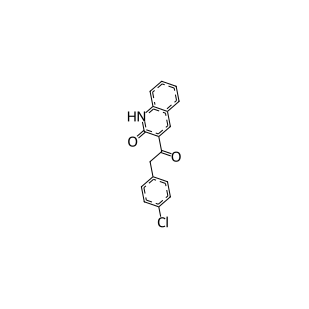 O=C(Cc1ccc(Cl)cc1)c1cc2ccccc2[nH]c1=O